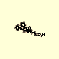 O=C(O)CCCCNC(=O)c1ccc(CN(c2ccccc2)C2CCCCC2)cc1